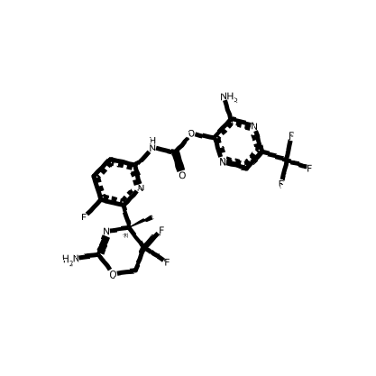 C[C@]1(c2nc(NC(=O)Oc3ncc(C(F)(F)F)nc3N)ccc2F)N=C(N)OCC1(F)F